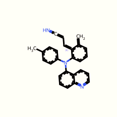 C=c1cccc(N(c2ccc(C)cc2)c2cccc3ncccc23)/c1=C/C=C=N